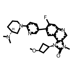 CO[C@H]1C[C@@H](n2c(=O)n(C)c3cnc4cc(F)c(-c5ccc(N6CCC[C@@H](N(C)C)C6)nc5)cc4c32)C1